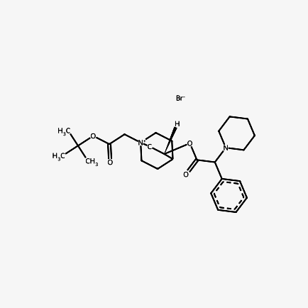 CC(C)(C)OC(=O)C[N+]12CCC(CC1)[C@@H](OC(=O)C(c1ccccc1)N1CCCCC1)C2.[Br-]